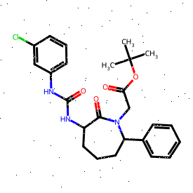 CC(C)(C)OC(=O)CN1C(=O)C(NC(=O)Nc2cccc(Cl)c2)CCCC1c1ccccc1